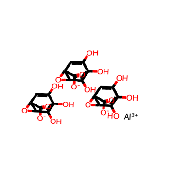 O=C([O-])C12C=C(O)C(O)=C(O)C1O2.O=C([O-])C12C=C(O)C(O)=C(O)C1O2.O=C([O-])C12C=C(O)C(O)=C(O)C1O2.[Al+3]